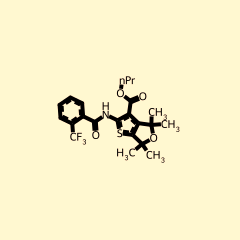 CCCOC(=O)c1c(NC(=O)c2ccccc2C(F)(F)F)sc2c1C(C)(C)OC2(C)C